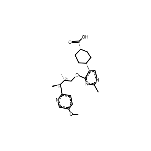 COc1ccc([C@@H](C)[C@H](C)COc2nc(C)ncc2[C@H]2CC[C@@H](C(=O)O)CC2)nc1